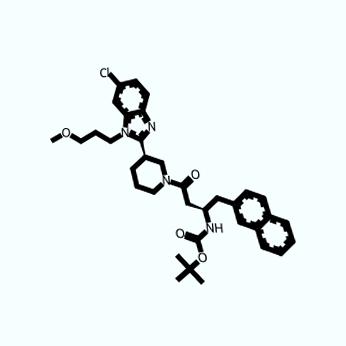 COCCCn1c([C@@H]2CCCN(C(=O)C[C@@H](Cc3ccc4ccccc4c3)NC(=O)OC(C)(C)C)C2)nc2ccc(Cl)cc21